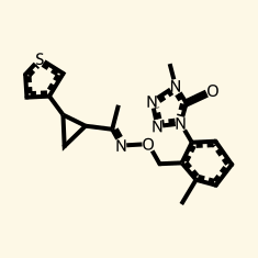 CC(=NOCc1c(C)cccc1-n1nnn(C)c1=O)C1CC1c1ccsc1